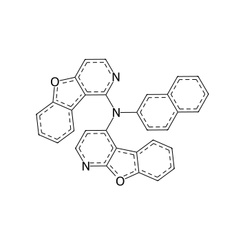 c1ccc2cc(N(c3nccc4oc5ccccc5c34)c3ccnc4oc5ccccc5c34)ccc2c1